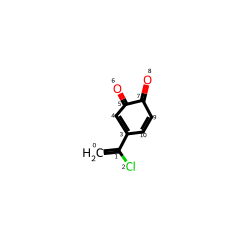 C=C(Cl)C1=CC(=O)C(=O)C=C1